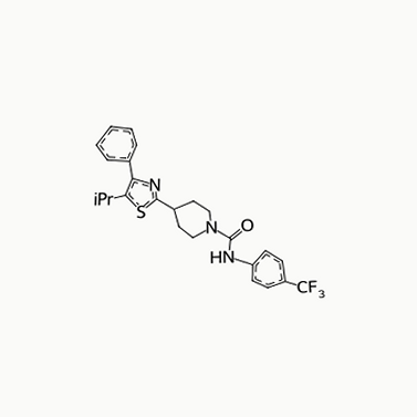 CC(C)c1sc(C2CCN(C(=O)Nc3ccc(C(F)(F)F)cc3)CC2)nc1-c1ccccc1